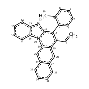 C=Cc1c(-c2ccccc2C)c2nc3ccccc3n2c2cc3ccccc3cc12